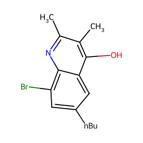 CCCCc1cc(Br)c2nc(C)c(C)c(O)c2c1